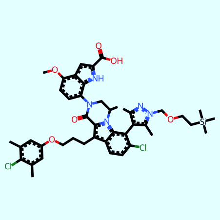 COc1ccc(N2CC(C)n3c(c(CCCOc4cc(C)c(Cl)c(C)c4)c4ccc(Cl)c(-c5c(C)nn(COCC[Si](C)(C)C)c5C)c43)C2=O)c2[nH]c(C(=O)O)cc12